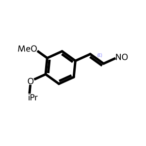 COc1cc(/C=C/N=O)ccc1OC(C)C